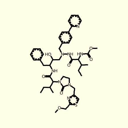 CCC(C)C(NC(=O)OC)C(=O)NN(Cc1ccc(-c2ccccn2)cc1)CC(O)C(Cc1ccccc1)NC(=O)C(C(C)CC)N1CCN(Cc2csc(COC)n2)C1=O